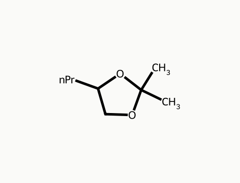 CCCC1COC(C)(C)O1